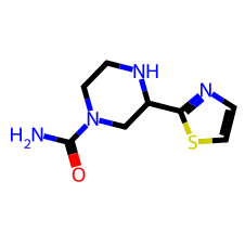 NC(=O)N1CCNC(c2nccs2)C1